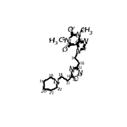 Cn1c(=O)c2c(ncn2CCc2noc(CCN3CCCCC3)n2)n(C)c1=O